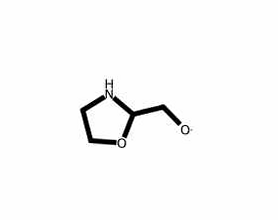 [O]CC1NCCO1